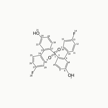 O=S(=O)(c1ccc(O)cc1-c1ccc(F)cc1)c1ccc(O)cc1-c1ccc(F)cc1